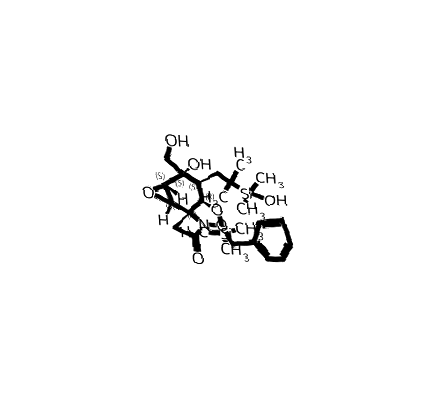 CC(C)(C[C@H]1[C@@H](O[Si](C)(C)C)[C@@]2(CC(=O)N2OCc2ccccc2)[C@@H]2O[C@@H]2[C@@]1(O)CO)[Si](C)(C)O